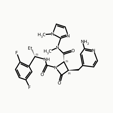 CC[C@H](NC(=O)N1C(=O)[C@H](Cc2ccnc(N)c2)[C@H]1C(=O)N(C)c1nccn1C)c1cc(F)ccc1F